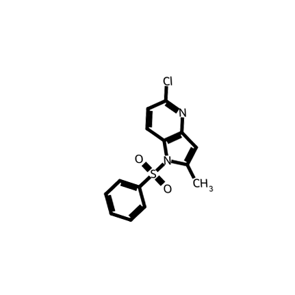 Cc1cc2nc(Cl)ccc2n1S(=O)(=O)c1ccccc1